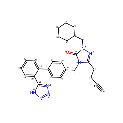 C#CCCc1nn(CC2CCCCC2)c(=O)n1Cc1ccc(-c2ccccc2-c2nnn[nH]2)cc1